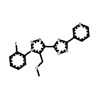 COCc1c(-c2nc(-c3cccnc3)no2)nnn1-c1ccccc1F